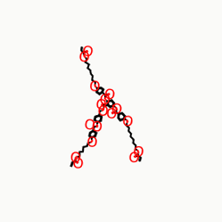 C=CC(=O)OCCCCCCCCCOc1ccc(C(=O)Oc2ccc(OC(=O)c3ccc(OCCCCCCCCCOC(=O)C=C)cc3)c(C(=O)OCc3ccc(OC(=O)c4ccc(OCCCCCCOC(=O)C=C)cc4)cc3)c2)cc1